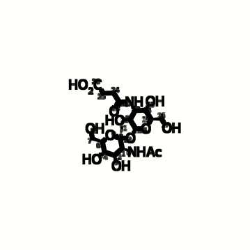 CC(=O)N[C@@H]1[C@@H](O)[C@@H](O)[C@@H](CO)O[C@@]1(C)O[C@@H]1O[C@H](CO)[C@H](O)[C@H](NC(=O)CCC(=O)O)[C@H]1O